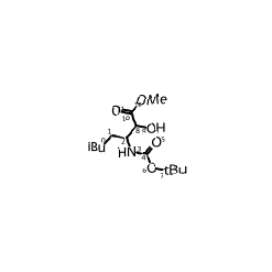 CCC(C)C[C@H](NC(=O)OC(C)(C)C)C(O)C(=O)OC